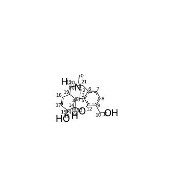 CN1CC[C@]23c4c5ccc(CO)c4O[C@H]2[C@H](O)C=CC3[C@H]1C5